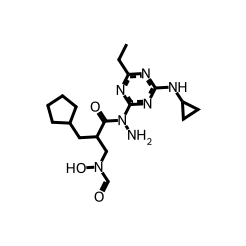 CCc1nc(NC2CC2)nc(N(N)C(=O)C(CC2CCCC2)CN(O)C=O)n1